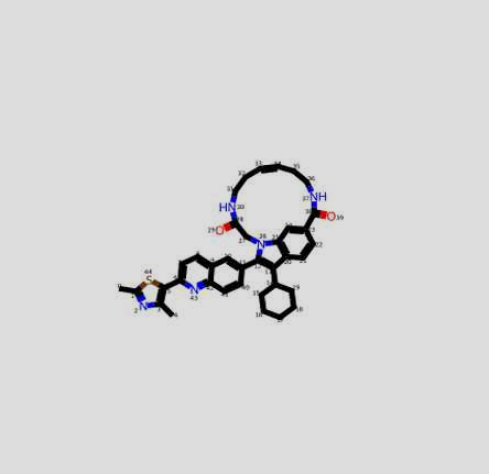 Cc1nc(C)c(-c2ccc3cc(-c4c(C5CCCCC5)c5ccc6cc5n4CC(=O)NCC/C=C\CCNC6=O)ccc3n2)s1